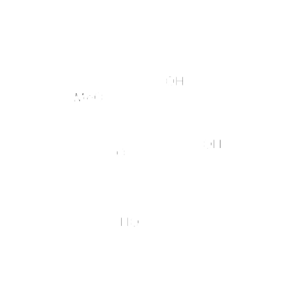 COC1OC(CO)C(O)C1O